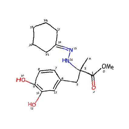 COC(=O)C(C)(Cc1ccc(O)c(O)c1)NN=C1CCCCC1